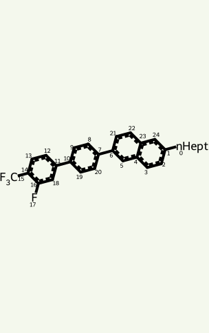 CCCCCCCc1ccc2cc(-c3ccc(-c4ccc(C(F)(F)F)c(F)c4)cc3)ccc2c1